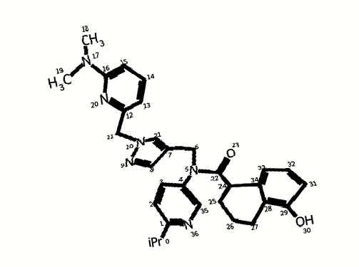 CC(C)c1ccc(N(Cc2cnn(Cc3cccc(N(C)C)n3)c2)C(=O)C2CCCc3c(O)cccc32)cn1